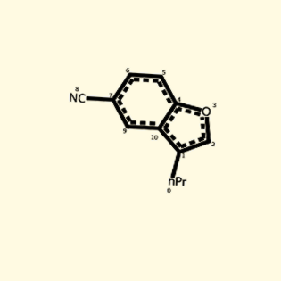 CCCc1coc2ccc(C#N)cc12